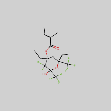 CCC(C)C(=O)OC1(CC)CC(CC)(C(F)(F)F)OC(O)(C(F)(F)F)C1(F)F